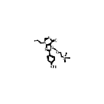 CCCn1cnc(=O)c2c1nc(-c1ccc(O)cc1)n2COCC[Si](C)(C)C